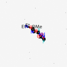 CCN(CC)CCCOc1cc2nccc(Oc3ccc(NC(=O)[C@]4(C(=O)N(C)c5ccc(F)cc5)C[C@H]4C)cc3F)c2cc1OC